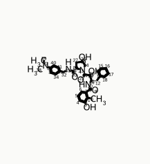 Cc1c(O)cccc1C(=O)N[C@@H](Cc1ccccc1)[C@H](O)C(=O)N1C[C@H](O)C[C@H]1C(=O)NCc1ccc(N(C)C)cc1